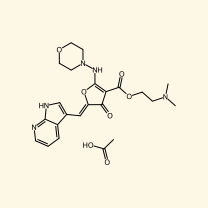 CC(=O)O.CN(C)CCOC(=O)C1=C(NN2CCOCC2)OC(=Cc2c[nH]c3ncccc23)C1=O